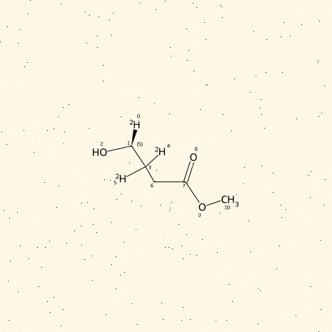 [2H][C@H](O)C([2H])([2H])CC(=O)OC